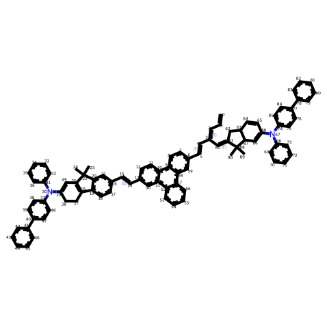 C=C/C=C(/C=C/c1ccc2c3ccc(/C=C/c4ccc5c(c4)C(C)(C)C4=C5CCC(N(c5ccccc5)c5ccc(-c6ccccc6)cc5)=C4)cc3c3ccccc3c2c1)\C=C1/CC2C=CC(N(c3ccccc3)c3ccc(-c4ccccc4)cc3)=CC2C1(C)C